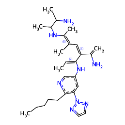 C=C(N)C(=C/C(C)=C(\C)NC(C)C(C)N)/C(=C/C)Nc1cnc(CCCCC)c(-n2nccn2)c1